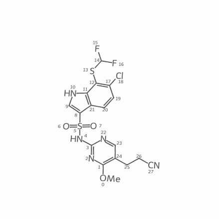 COc1nc(NS(=O)(=O)c2c[nH]c3c(SC(F)F)c(Cl)ccc23)ncc1CCC#N